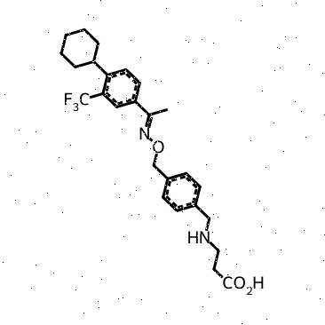 C/C(=N\OCc1ccc(CNCCC(=O)O)cc1)c1ccc(C2CCCCC2)c(C(F)(F)F)c1